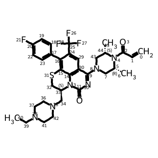 C=CC(=O)N1[C@H](C)CN(c2nc(=O)n3c4c(c(-c5ccc(F)cc5)c(C(F)(F)F)cc24)SC[C@@H]3CN2CCN(CC)CC2)C[C@@H]1C